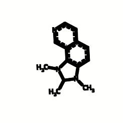 CC1N(C)c2ccc3ccncc3c2N1C